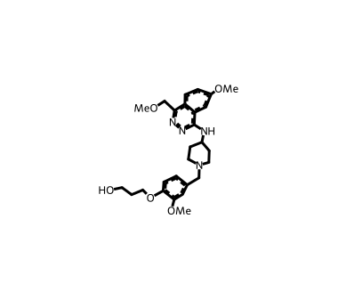 COCc1nnc(NC2CCN(Cc3ccc(OCCCO)c(OC)c3)CC2)c2cc(OC)ccc12